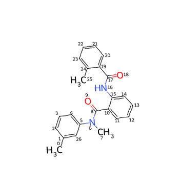 Cc1cccc(N(C)C(=O)c2ccccc2NC(=O)c2ccccc2C)c1